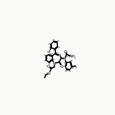 CCOC(=O)CN1C(=O)C(N(C(N)=O)c2cccc(C)c2)N=C(c2ccccc2F)c2ccccc21